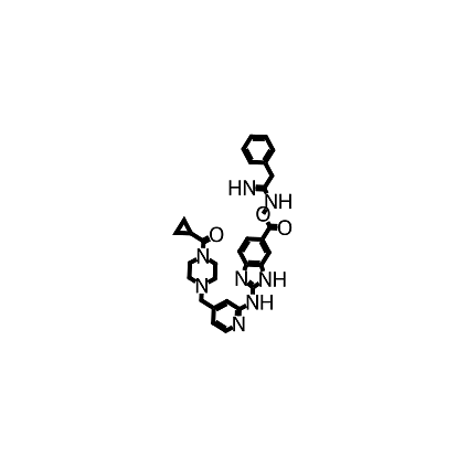 N=C(Cc1ccccc1)NOC(=O)c1ccc2nc(Nc3cc(CN4CCN(C(=O)C5CC5)CC4)ccn3)[nH]c2c1